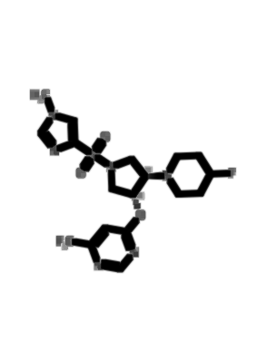 Cn1cnc(S(=O)(=O)N2C[C@@H](N3CCC(F)CC3)[C@H](Oc3cc(C(F)(F)F)ncn3)C2)c1